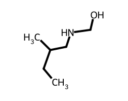 CCC(C)CNCO